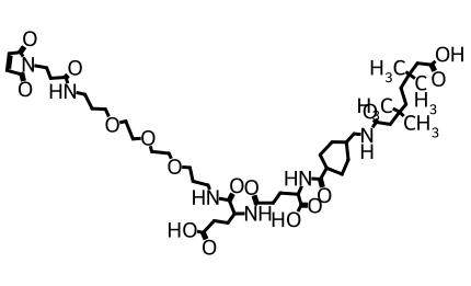 CC(C)(CCC(C)(C)CC(=O)NCC1CCC(C(=O)NC(CCC(=O)NC(CCC(=O)O)C(=O)NCCCOCCOCCOCCCNC(=O)CCN2C(=O)C=CC2=O)C(=O)O)CC1)CC(=O)O